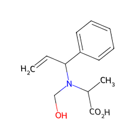 C=CC(c1ccccc1)N(CO)C(C)C(=O)O